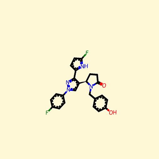 O=C1CC[C@H](c2cn(-c3ccc(F)cc3)nc2-c2ccc(F)[nH]2)N1Cc1ccc(O)cc1